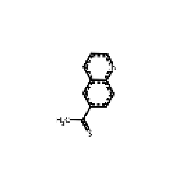 CC(=S)c1ccc2ncccc2c1